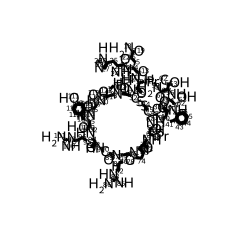 CC(C)C[C@@H]1NC(=O)[C@@H](NC(=O)C(NC(=O)[C@H](CCC(N)=O)NC(=O)[C@@H](N)Cc2cnc[nH]2)C(C)C)CSSC[C@@H](C(=O)N[C@@H](Cc2ccccc2)C(=O)N[C@@H](CO)C(=O)N[C@H](C(N)=O)[C@@H](C)O)NC(=O)C(C(C)C)NC(=O)[C@@H]2CCCN2C(=O)[C@H](CCCNC(=N)N)NC(=O)CNC(=O)[C@H](CCCNC(=N)N)NC(=O)[C@H](Cc2ccc(O)cc2)NC(=O)[C@H](CO)NC1=O